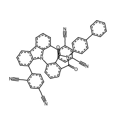 N#Cc1ccc(-c2cccc3c4cccc(-c5ccc(C#N)cc5C#N)c4n(-c4cccc5c4C(=O)N(c4ccc(-c6ccccc6)cc4)C5=O)c23)c(C#N)c1